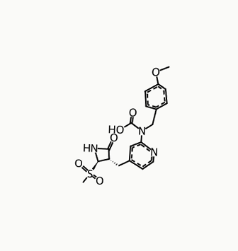 COc1ccc(CN(C(=O)O)c2cc(C[C@H]3C(=O)N[C@@H]3S(C)(=O)=O)ccn2)cc1